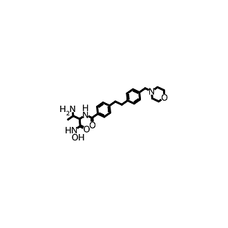 CC(N)C(NC(=O)c1ccc(CCc2ccc(CN3CCOCC3)cc2)cc1)C(=O)NO